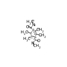 C=NC(=O)C1=C(C)C(=C)C(C(=O)N=C)C(=C)C1=C